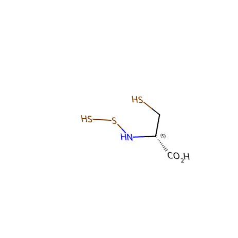 O=C(O)[C@@H](CS)NSS